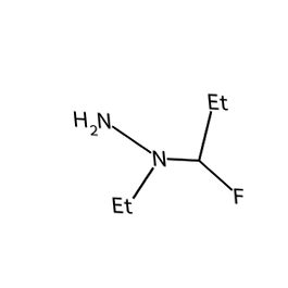 CCC(F)N(N)CC